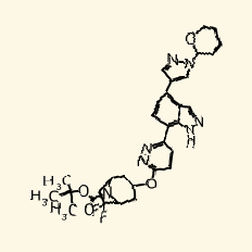 CC(C)(C)OC(=O)N1C2CC(Oc3ccc(-c4ccc(-c5cnn(C6CCCCO6)c5)c5cn[nH]c45)nn3)CC1C(F)(F)C2